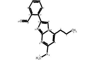 CCCc1cc(SC)nc2nc(-c3ccccc3C=O)cn12